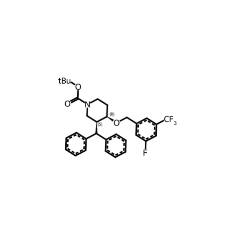 CC(C)(C)OC(=O)N1CC[C@@H](OCc2cc(F)cc(C(F)(F)F)c2)[C@@H](C(c2ccccc2)c2ccccc2)C1